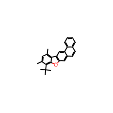 Cc1cc(C)c2c(oc3cc4ccc5ccccc5c4cc32)c1C(C)(C)C